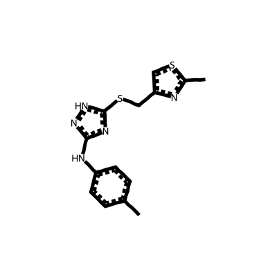 Cc1ccc(Nc2n[nH]c(SCc3csc(C)n3)n2)cc1